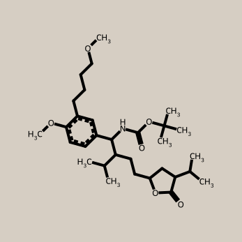 COCCCCc1cc(C(NC(=O)OC(C)(C)C)C(CCC2CC(C(C)C)C(=O)O2)C(C)C)ccc1OC